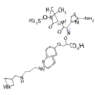 CC1(C)[C@H](NC(=O)/C(=N\OC(COc2ccc3nc(NCCCNCC4CNC4)ccc3c2)C(=O)O)c2csc(N)n2)C(=O)N1OS(=O)(=O)O